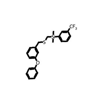 C[Si](C)(CSCc1cccc(Oc2ccccc2)c1)c1cccc(C(F)(F)F)c1